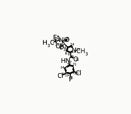 CCC(C)(NS(=O)(=O)c1cc(C(=O)Nc2cc(Cl)c(F)c(Cl)c2)n(C)c1)C(F)(F)F